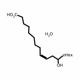 CCCCCCC(O)C/C=C\CCCCCCCC(=O)O.O